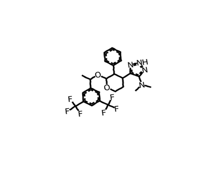 CC(OC1OCCC(c2n[nH]nc2N(C)C)C1c1ccccc1)c1cc(C(F)(F)F)cc(C(F)(F)F)c1